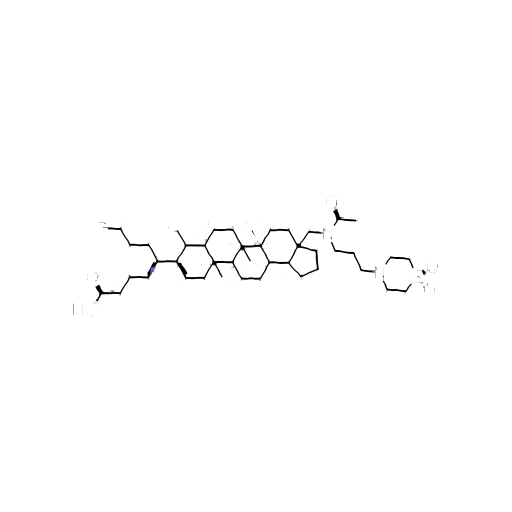 CC(=O)N(CCCN1CCS(=O)(=O)CC1)CC12CCCC1C1CCC3C4(C)CC=C(/C(=C/CCC(=O)O)CCCF)C(C)C4CCC3(C)[C@]1(C)CC2